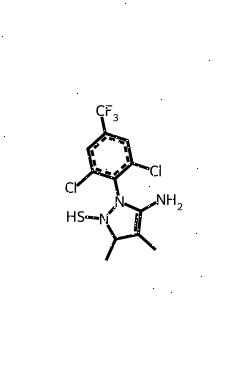 CC1=C(N)N(c2c(Cl)cc(C(F)(F)F)cc2Cl)N(S)C1C